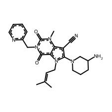 CC(C)=CCn1c(N2CCCC(N)C2)c(C#N)c2c1c(=O)n(Cc1ccccn1)c(=O)n2C